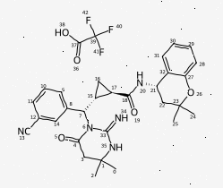 CC1(C)CC(=O)N(C(c2cccc(C#N)c2)[C@@H]2C[C@H]2C(=O)N[C@H]2CC(C)(C)Oc3ccccc32)C(=N)N1.O=C(O)C(F)(F)F